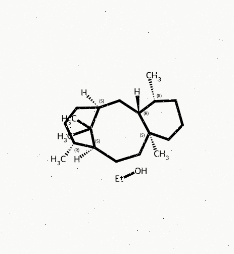 CCO.C[C@@H]1CCC[C@@]2(C)CC[C@H]3[C@H](C)CC[C@@H](C[C@H]12)C3(C)C